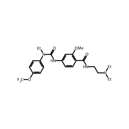 CCN(CC)CCNC(=O)c1ccc(NC(=O)N(CC)c2ccc(OC(F)(F)F)cc2)cc1OC